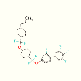 CCCC1C=CC(C(F)(F)OC2CCC(C(F)(F)Oc3ccc(-c4cc(F)c(F)c(F)c4)c(F)c3)CC2)CC1